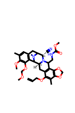 C=CCOc1c(C)c2c(c3c1C[C@H]1C4c5c(cc(C)c(OC)c5OCOC)CC([C@H](C#N)N1C3CNC(=O)OC)N4C)OCO2